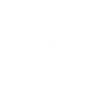 CCOC(=O)/C=C/C1CC2(CCN(C(=O)OC(C)(C)C)CC2)C1